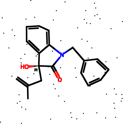 C=C(C)C[C@]1(O)C(=O)N(Cc2ccccc2)c2ccccc21